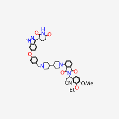 CCOc1cc([C@@H](CC#N)N2C(=O)c3cccc(N4CCC(C5CCN(Cc6ccc(Oc7ccc8c(C9CCC(=O)NC9=O)nn(C)c8c7)cc6)CC5)CC4)c3C2=O)ccc1OC